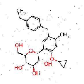 CCc1ccc(Cc2cc([C@@H]3O[C@H](CO)[C@@H](O)[C@H](O)[C@H]3O)c(OC3CC3)cc2C)cc1